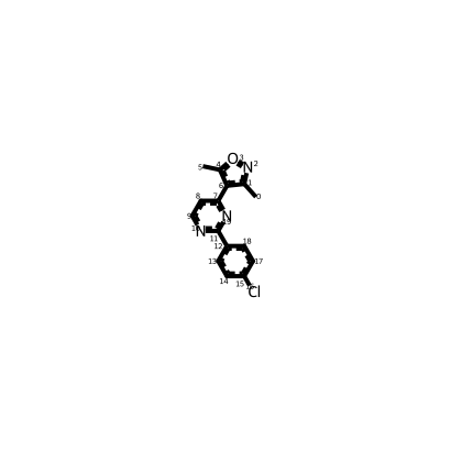 Cc1noc(C)c1-c1ccnc(-c2ccc(Cl)cc2)n1